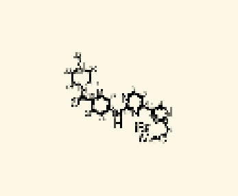 COCc1ncc(-c2ccnc(Nc3ccc(C(=O)N4CCN(C)CC4)cc3)n2)n1C(C)C